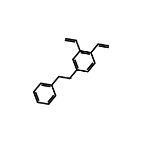 C=Cc1ccc([CH]Cc2ccccc2)cc1C=C